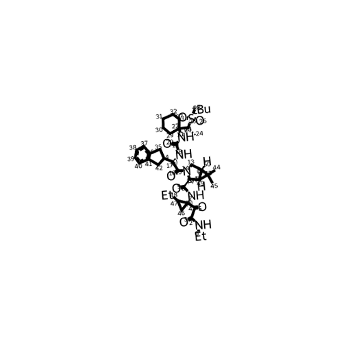 CCNC(=O)C(=O)[C@@]1(NC(=O)[C@@H]2[C@@H]3[C@H](CN2C(=O)[C@@H](NC(=O)NC2([C@@H](C)S(=O)(=O)C(C)(C)C)CCCCC2)C2Cc4ccccc4C2)C3(C)C)CC1CC